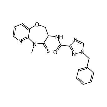 CN1C(=S)C(NC(=O)c2ncn(Cc3ccccc3)n2)COc2cccnc21